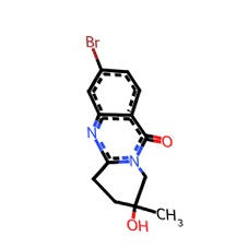 CC1(O)CCc2nc3cc(Br)ccc3c(=O)n2C1